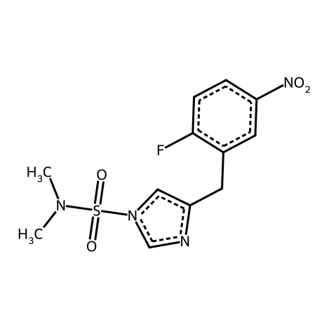 CN(C)S(=O)(=O)n1cnc(Cc2cc([N+](=O)[O-])ccc2F)c1